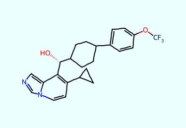 O[C@@H](c1c(C2CC2)ccn2cncc12)C1CCC(c2ccc(OC(F)(F)F)cc2)CC1